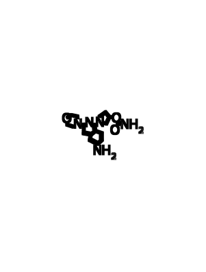 NC(=O)OC1CCN(c2nc(N3CCOCC3)cc3cc(N)ccc23)C1